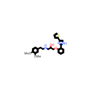 COc1ccc(CCNCC(O)COc2ccccc2-c2nc(-c3cccs3)c[nH]2)cc1OC